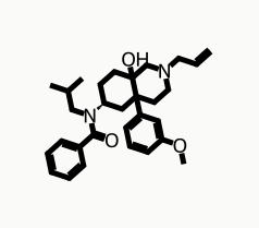 C=CCN1CCC2(c3cccc(OC)c3)C[C@H](N(CC(C)C)C(=O)c3ccccc3)CCC2(O)C1